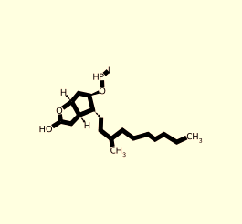 CCCCCCCC(C)CC[C@@H]1[C@H]2CC(O)O[C@H]2C[C@H]1OPI